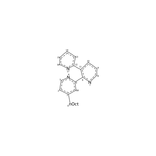 CCCCCCCCc1ccnc(-c2ncccc2-c2ccccn2)c1